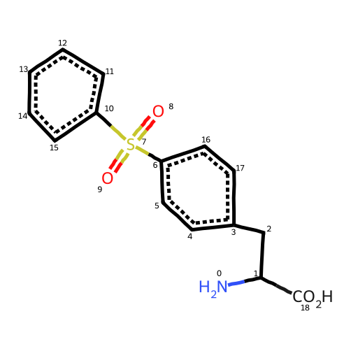 NC(Cc1ccc(S(=O)(=O)c2ccccc2)cc1)C(=O)O